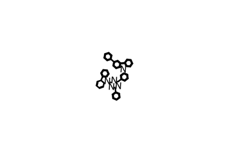 C1=CC2c3ccccc3N(c3nc(-c4ccccc4)nc(-c4cccc(-n5c6ccccc6c6cc(-c7ccccc7)ccc65)c4)n3)C2C=C1